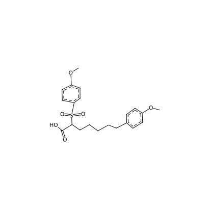 COc1ccc(CCCCCC(C(=O)O)S(=O)(=O)c2ccc(OC)cc2)cc1